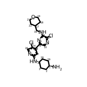 N[C@H]1CC[C@H](Nc2cc(-c3cnc(Cl)c(NCC4CCOCC4)n3)c(Cl)cn2)CC1